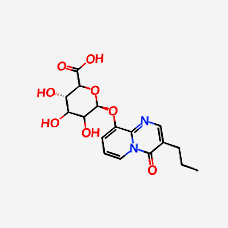 CCCc1cnc2c(O[C@@H]3OC(C(=O)O)[C@@H](O)C(O)C3O)cccn2c1=O